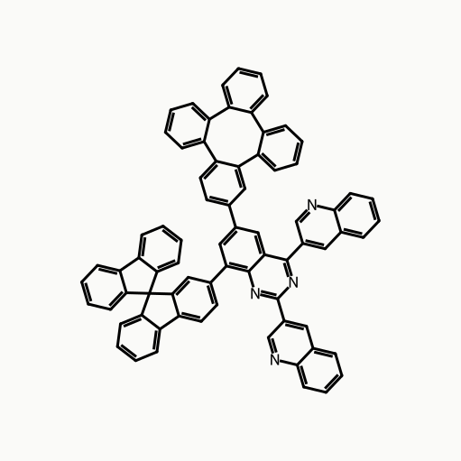 c1ccc2c(c1)-c1ccccc1-c1ccc(-c3cc(-c4ccc5c(c4)C4(c6ccccc6-c6ccccc64)c4ccccc4-5)c4nc(-c5cnc6ccccc6c5)nc(-c5cnc6ccccc6c5)c4c3)cc1-c1ccccc1-2